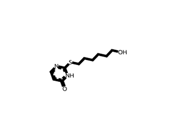 O=c1ccnc(SCCCCCCO)[nH]1